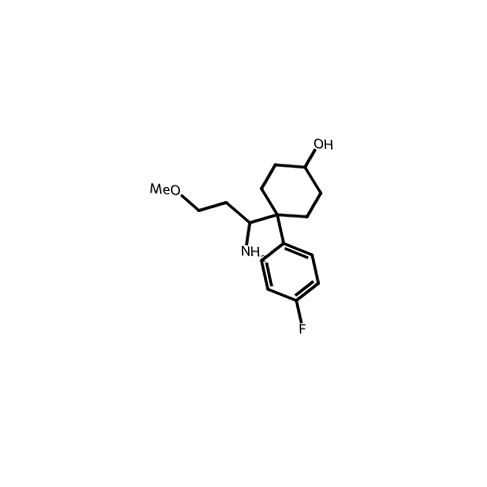 COCCC(N)C1(c2ccc(F)cc2)CCC(O)CC1